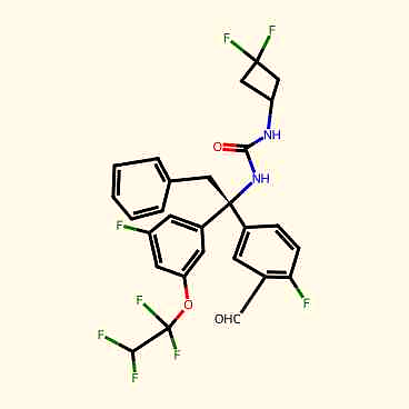 O=Cc1cc([C@@](Cc2ccccc2)(NC(=O)NC2CC(F)(F)C2)c2cc(F)cc(OC(F)(F)C(F)F)c2)ccc1F